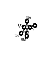 Cc1cc2c3c(c1)N(c1ccc(C(C)(C)C)cc1)c1c(sc4ccc(C(C)(C)C)cc14)B3c1cc3sc4ccccc4c3cc1N2c1ccc(C(C)(C)C)cc1